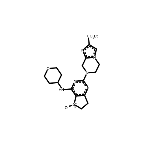 CCOC(=O)c1cn2c(n1)CN(c1nc3c(c(NC4CCOCC4)n1)[S@+]([O-])CC3)CC2